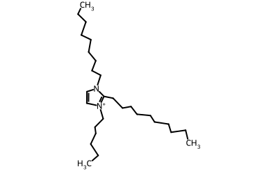 CCCCCCCCCCc1n(CCCCCCCCC)cc[n+]1CCCCCC